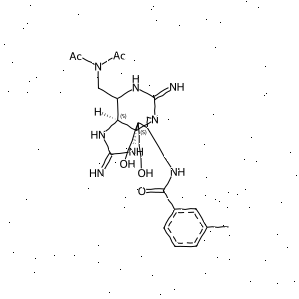 CC(=O)N(CC1NC(=N)N2CC(NC(=O)c3cccc(C)c3)C(O)(O)[C@@]23NC(=N)N[C@@H]13)C(C)=O